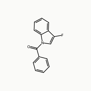 O=C(c1ccccc1)n1cc(F)c2ccccc21